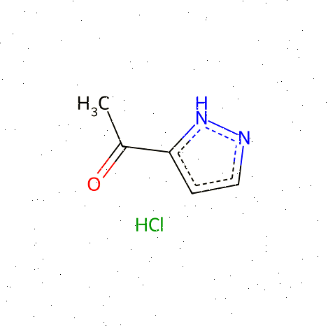 CC(=O)c1ccn[nH]1.Cl